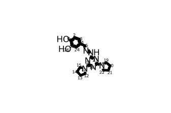 Oc1ccc(C=NNc2nc(N3CCCC3)nc(N3CCCC3)n2)cc1O